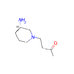 CC(=O)CCN1CCC[C@H](N)C1